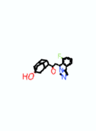 O=C(CC1c2c(F)cccc2-c2cncn21)C1C2CC3CC1CC(O)(C3)C2